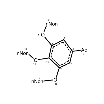 CCCCCCCCCOc1cc(C(C)=O)cc(OCCCCCCCCC)c1OCCCCCCCCC